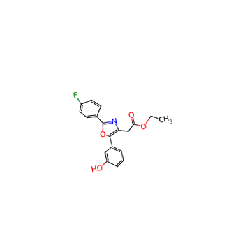 CCOC(=O)Cc1nc(-c2ccc(F)cc2)oc1-c1cccc(O)c1